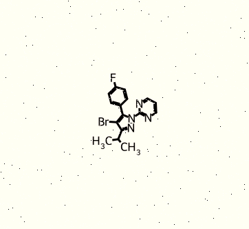 CC(C)c1nn(-c2ncccn2)c(-c2ccc(F)cc2)c1Br